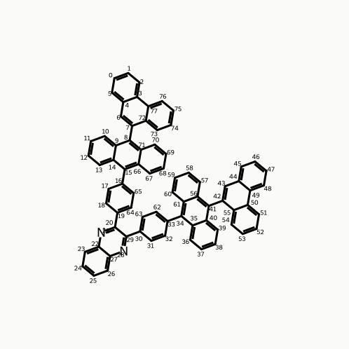 c1ccc2c(c1)cc(-c1c3ccccc3c(-c3ccc(-c4nc5ccccc5nc4-c4ccc(-c5c6ccccc6c(-c6cc7ccccc7c7ccccc67)c6ccccc56)cc4)cc3)c3ccccc13)c1ccccc12